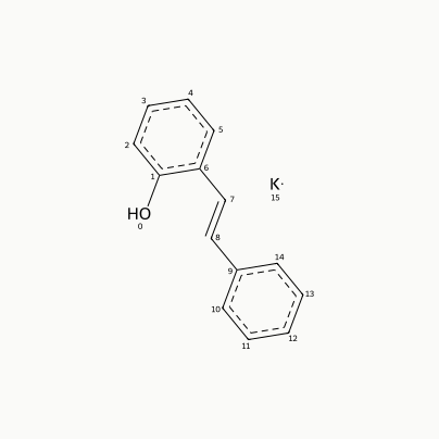 Oc1ccccc1C=Cc1ccccc1.[K]